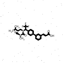 CC(C)CCN(C(=O)N(C)C#N)C(c1ccc(-c2cccc(C=CC(=O)O)c2)cc1)C(F)(F)F